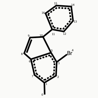 Cc1cc(Br)c2c(c1)C=CC2c1ccccc1